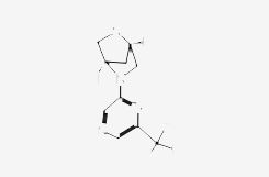 FC(F)(F)c1cncc(N2C[C@@H]3C[C@H]2CN3)n1